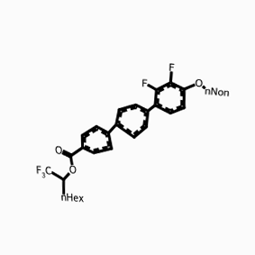 CCCCCCCCCOc1ccc(-c2ccc(-c3ccc(C(=O)OC(CCCCCC)C(F)(F)F)cc3)cc2)c(F)c1F